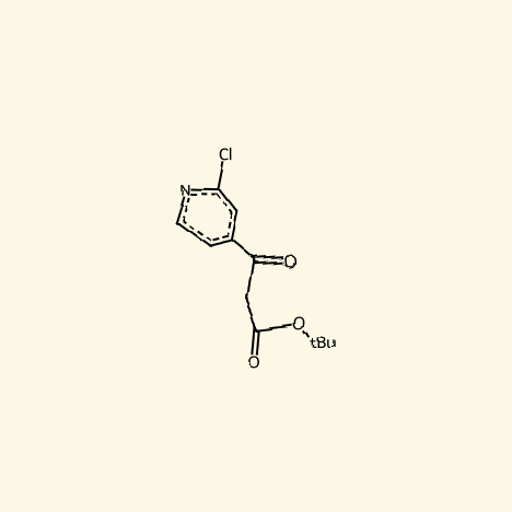 CC(C)(C)OC(=O)CC(=O)c1ccnc(Cl)c1